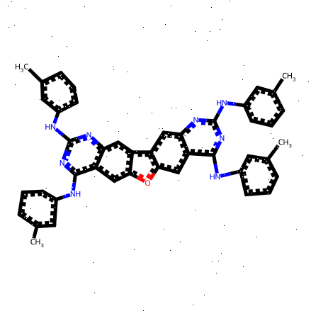 Cc1cccc(Nc2nc(Nc3cccc(C)c3)c3cc4oc5cc6c(Nc7cccc(C)c7)nc(Nc7cccc(C)c7)nc6cc5c4cc3n2)c1